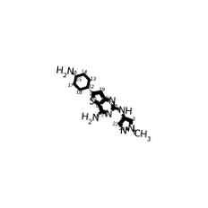 Cn1cc(Nc2nc(N)c3sc([C@H]4CC[C@@H](N)CC4)cc3n2)cn1